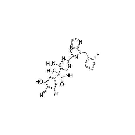 CC1(c2cc(O)c(C#N)c(Cl)c2)C(=O)Nc2nc(-c3cn4ccnc4c(Cc4ccccc4F)n3)nc(N)c21